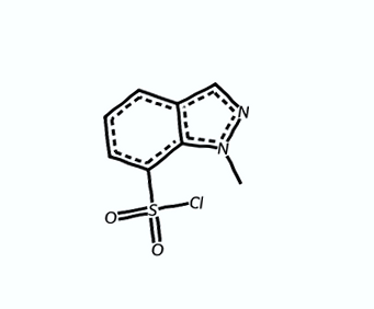 Cn1ncc2cccc(S(=O)(=O)Cl)c21